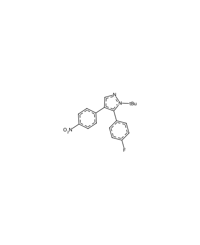 CC(C)(C)n1ncc(-c2ccc([N+](=O)[O-])cc2)c1-c1ccc(F)cc1